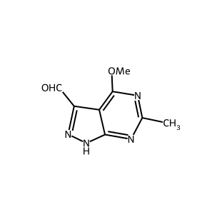 COc1nc(C)nc2[nH]nc(C=O)c12